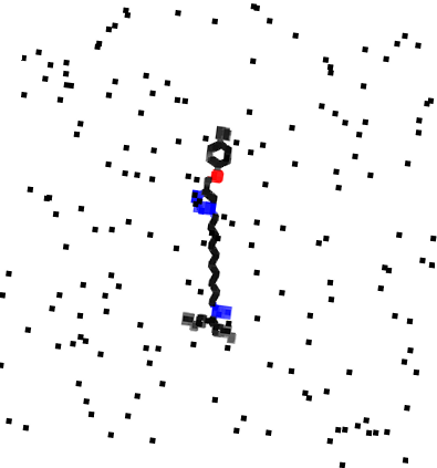 C=C(C)NCCCCCCCCCCn1cc(COc2ccc(CC)cc2)nn1